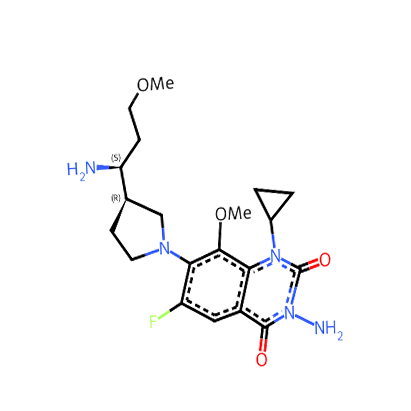 COCC[C@H](N)[C@@H]1CCN(c2c(F)cc3c(=O)n(N)c(=O)n(C4CC4)c3c2OC)C1